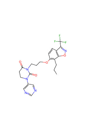 CCCc1c(OCCCN2C(=O)CCN(c3cncnc3)C2=O)ccc2c(C(F)(F)F)noc12